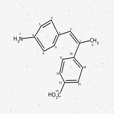 CC(=Cc1ccc(N)cc1)c1ccc(C(=O)O)cc1